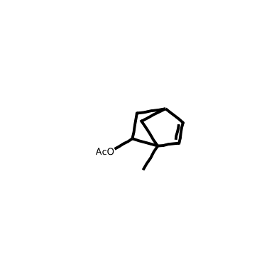 CC(=O)OC1CC2C=CC1(C)C2